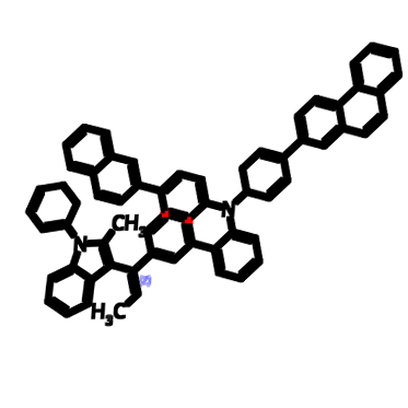 C/C=C(/c1cccc(-c2ccccc2N(c2ccc(-c3ccc4ccccc4c3)cc2)C2C=CC(c3ccc4c(ccc5ccccc54)c3)=CC2)c1)c1c(C)n(C2=CC=CCC2)c2ccccc12